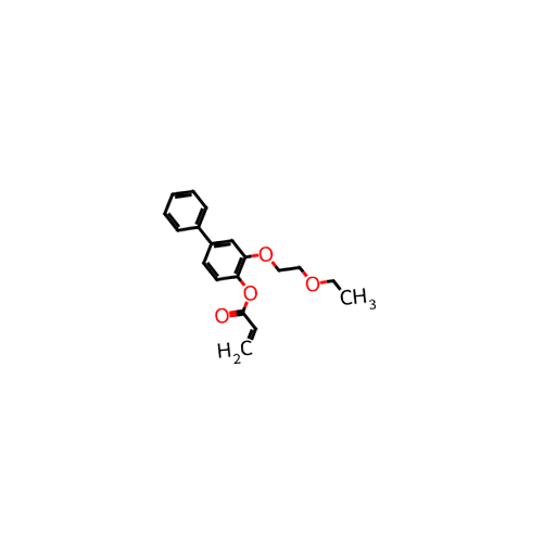 C=CC(=O)Oc1ccc(-c2ccccc2)cc1OCCOCC